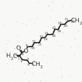 C=C(CCCC)C(=O)OCCCCCCCCCCCCCC